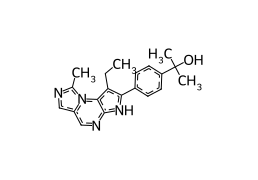 CCc1c(-c2ccc(C(C)(C)O)cc2)[nH]c2ncc3cnc(C)n3c12